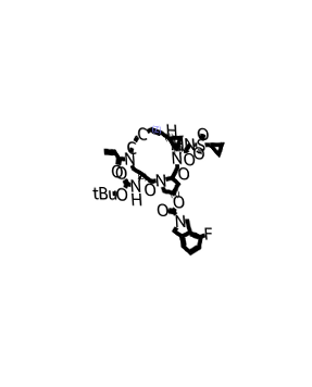 C=CC(=O)N1CCC/C=C\[C@@H]2C[C@@]2(C(=O)NS(=O)(=O)C2CC2)NC(=O)C2C[C@@H](OC(=O)N3Cc4cccc(F)c4C3)CN2C(=O)[C@@H](NC(=O)OC(C)(C)C)C1